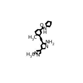 Cc1ccc(C(=O)Nc2ccccc2)cc1C#Cc1cc(-c2cnn(C)c2)cnc1N